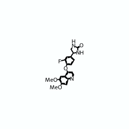 COc1cc2nccc(Oc3ccc(C4CNC(=O)N4)cc3F)c2cc1OC